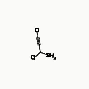 [SiH3]C(Cl)C#CCl